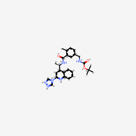 Cc1ccc(CNC(=O)OC(C)(C)C)cc1C(=O)N[C@H](C)c1cc(-n2cnnc2)nc2ccccc12